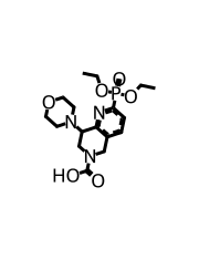 CCOP(=O)(OCC)c1ccc2c(n1)C(N1CCOCC1)CN(C(=O)O)C2